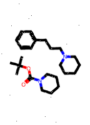 CC(C)(C)OC(=O)N1CCCCC1.c1ccc(CCCN2CCCCC2)cc1